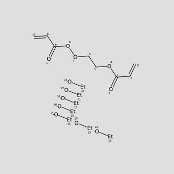 C=CC(=O)OCCOOC(=O)C=C.[CH2]C[O].[CH2]C[O].[CH2]C[O].[CH2]C[O].[CH2]C[O].[CH2]C[O].[CH2]C[O]